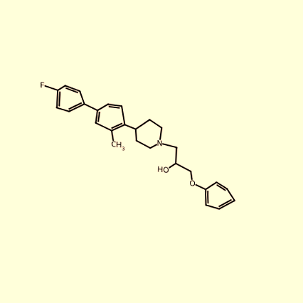 Cc1cc(-c2ccc(F)cc2)ccc1C1CCN(CC(O)COc2ccccc2)CC1